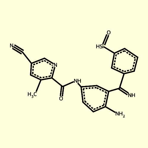 Cc1cc(C#N)cnc1C(=O)Nc1ccc(N)c(C(=N)c2cccc([SiH]=O)c2)c1